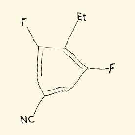 [CH2]Cc1c(F)cc(C#N)cc1F